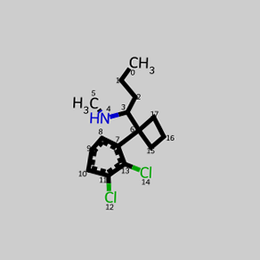 CCCC(NC)C1(c2cccc(Cl)c2Cl)CCC1